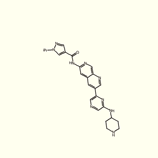 CC(C)n1cc(C(=O)Nc2cc3cc(-c4cncc(NC5CCNCC5)n4)cnc3cn2)cn1